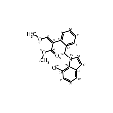 COC=C(C(=O)OC)c1ccccc1Cn1ccc2cccc(Cl)c21